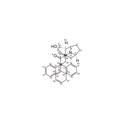 O=C(O)[C@@H]1[C@H]2CC[C@@H](CN1C(=O)N(c1ccccc1)c1ccccc1)N2C(=O)CCC1=CC=CCC1